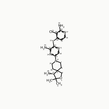 CC1(C)OCC2(CCN(c3cnc(Sc4ccnc(N)c4Cl)c(N)n3)CC2)[C@@H]1N